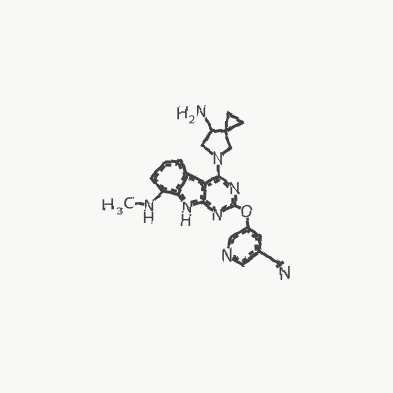 CNc1cccc2c1[nH]c1nc(Oc3cncc(C#N)c3)nc(N3CC(N)C4(CC4)C3)c12